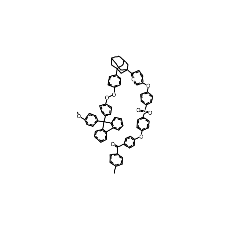 COc1ccc(C2(c3ccc(OOc4ccc(C56CC7CC(C5)CC(c5ccc(Oc8ccc(S(=O)(=O)c9ccc(Oc%10ccc(C(=O)c%11ccc(C)cc%11)cc%10)cc9)cc8)cc5)(C7)C6)cc4)cc3)c3ccccc3-c3ccccc32)cc1